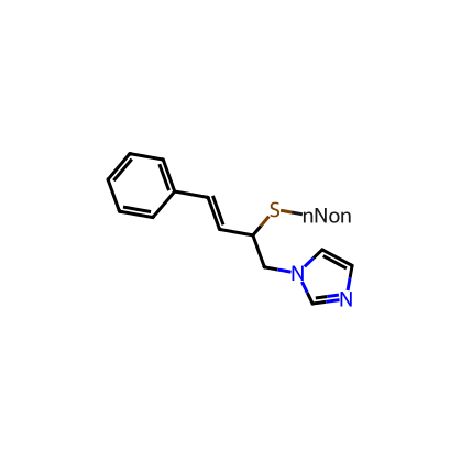 CCCCCCCCCSC(C=Cc1ccccc1)Cn1ccnc1